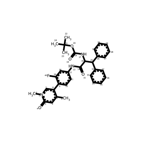 Cc1cc(=O)n(C)cc1-c1ccc(NC(=O)C(NC(=O)OC(C)(C)C)C(c2ccccc2)c2ccccc2)cc1F